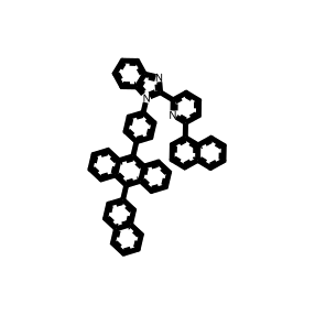 c1cc(-c2cccc3ccccc23)nc(-c2nc3ccccc3n2-c2ccc(-c3c4ccccc4c(-c4ccc5ccccc5c4)c4ccccc34)cc2)c1